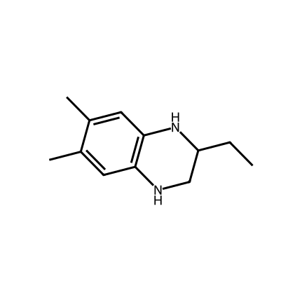 CCC1CNc2cc(C)c(C)cc2N1